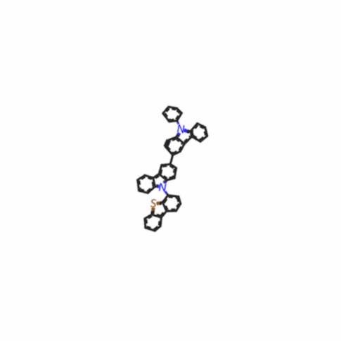 c1c(-c2ccc3c(c2)c2ccccc2n3-c2cccc3c2sc2ccccc23)cc2c3ccccc3n(-c3ccccc3)c2c#1